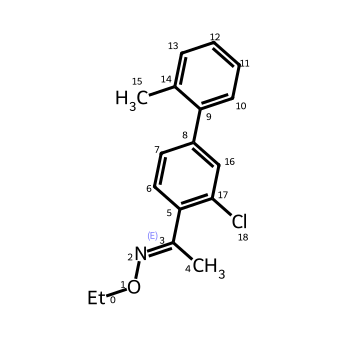 CCO/N=C(\C)c1ccc(-c2ccccc2C)cc1Cl